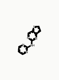 c1cnc(Nc2ncc3sccc3n2)nc1